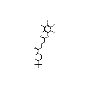 Cc1c(F)c(F)c(F)c(OC(=O)CCCC(=O)N2CCC(C(C)(C)C)CC2)c1F